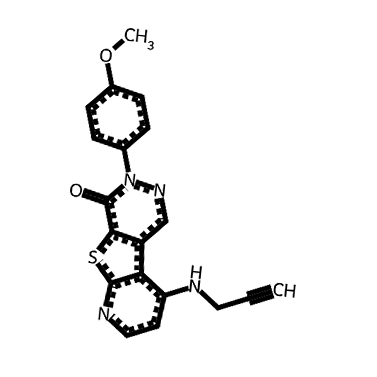 C#CCNc1ccnc2sc3c(=O)n(-c4ccc(OC)cc4)ncc3c12